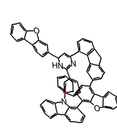 C1=CCCC(n2c3ccccc3c3cccc(-c4ccc(-c5ccc6c(c5)-c5c(cccc5C5=CC(c7ccc8c(c7)oc7ccccc78)NC(c7ccccc7)=N5)C6)c5c4oc4ccccc45)c32)=C1